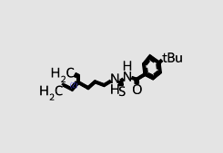 C=C/C=C(\C=C)CCCNC(=S)NC(=O)c1ccc(C(C)(C)C)cc1